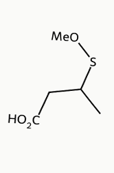 COSC(C)CC(=O)O